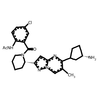 CC(=O)Nc1ccc(Cl)cc1C(=O)N1CCCC[C@H]1c1cc2nc(C3CC[C@H](N)C3)c(C)cn2n1